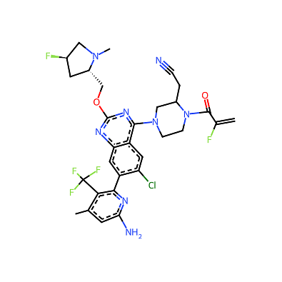 C=C(F)C(=O)N1CCN(c2nc(OC[C@@H]3C[C@@H](F)CN3C)nc3cc(-c4nc(N)cc(C)c4C(F)(F)F)c(Cl)cc23)CC1CC#N